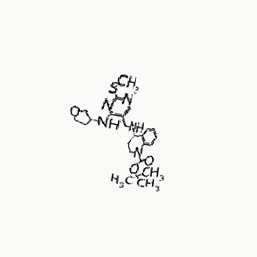 CSc1ncc(CN[C@H]2CCN(C(=O)OC(C)(C)C)c3ccccc32)c(N[C@H]2CCOC2)n1